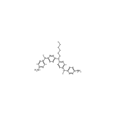 CCCCCCC(c1ccc(C(C)c2ccc(N)cc2)cc1)c1ccc(C(C)c2ccc(N)cc2)cc1